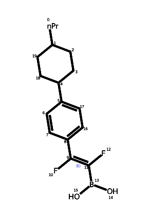 CCCC1CCC(c2ccc(/C(F)=C(\F)B(O)O)cc2)CC1